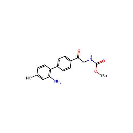 CC(C)(C)OC(=O)NCC(=O)c1ccc(-c2ccc(C#N)cc2N)cc1